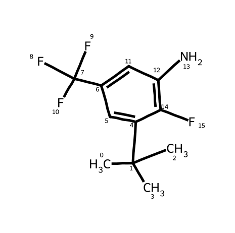 CC(C)(C)c1cc(C(F)(F)F)cc(N)c1F